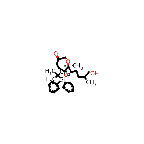 CC(CO)CCC[C@]1(C)OCC(=O)CC[C@H]1O[Si](c1ccccc1)(c1ccccc1)C(C)(C)C